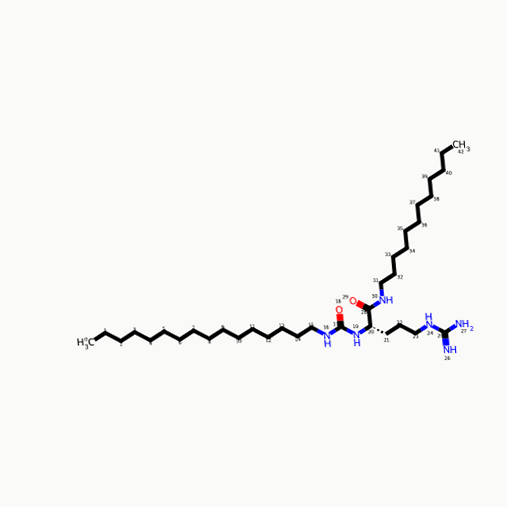 CCCCCCCCCCCCCCCCNC(=O)N[C@@H](CCCNC(=N)N)C(=O)NCCCCCCCCCCCC